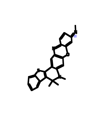 C/N=c1\ccc2nc3cc4c(cc3oc-2c1)N(C)C(C)(C)c1c-4sc2ccccc12